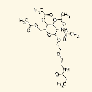 CCC(=O)NCCOCCOC1OC(COC(C)=O)C(OC(C)=O)C(OC(C)=O)C1NC(C)=O